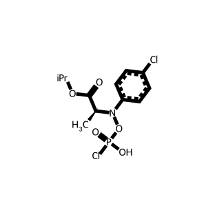 CC(C)OC(=O)[C@H](C)N(OP(=O)(O)Cl)c1ccc(Cl)cc1